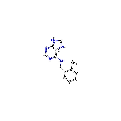 Cc1ccccc1CNc1ncnc2[nH]cnc12